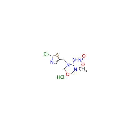 CN1COCN(Cc2cnc(Cl)s2)C1=N[N+](=O)[O-].Cl